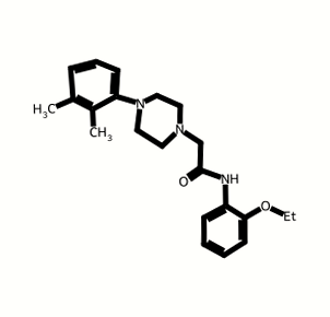 CCOc1ccccc1NC(=O)CN1CCN(c2cccc(C)c2C)CC1